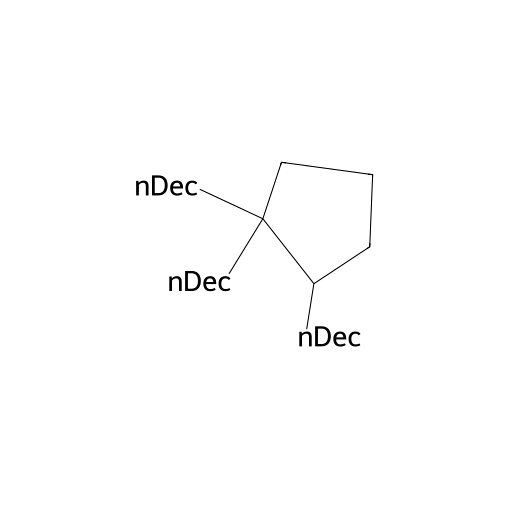 CCCCCCCCCCC1CCCC1(CCCCCCCCCC)CCCCCCCCCC